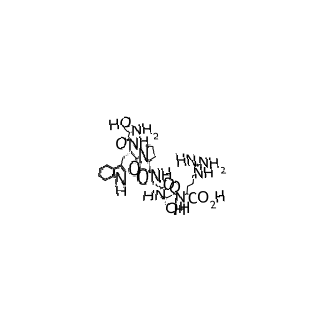 N=C(N)NCCC[C@H](NC(=O)[C@H](CO)NC(=O)CNC(=O)[C@@H]1CCCN1C(=O)[C@H](Cc1c[nH]c2ccccc12)NC(=O)[C@@H](N)CO)C(=O)O